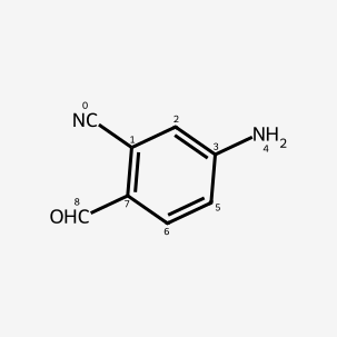 N#Cc1cc(N)ccc1C=O